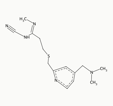 C/N=C(/CCSCc1cc(CN(C)C)ccn1)NC#N